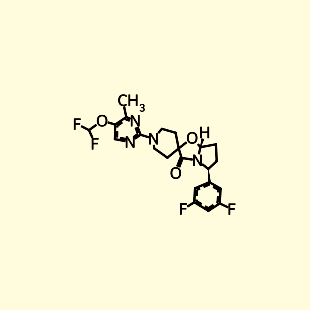 Cc1nc(N2CCC3(CC2)O[C@@H]2CC[C@@H](c4cc(F)cc(F)c4)N2C3=O)ncc1OC(F)F